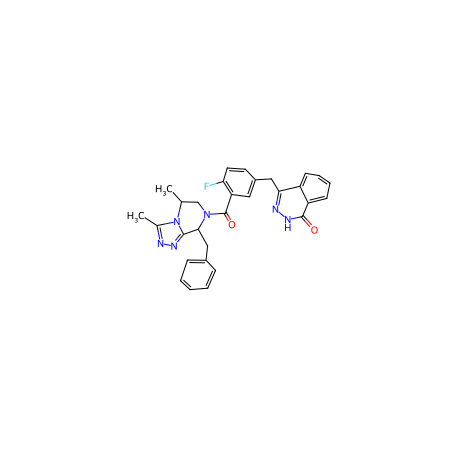 Cc1nnc2n1C(C)CN(C(=O)c1cc(Cc3n[nH]c(=O)c4ccccc34)ccc1F)C2Cc1ccccc1